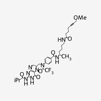 COCC#CCCCC(=O)NCCCC[C@@H](C)NC(=O)c1ccc(N(Cc2cnc3nc(NC(=O)C(C)C)[nH]c(=O)c3n2)C(=O)C(F)(F)F)cc1